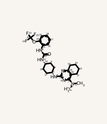 CN(C)c1nc(N[C@H]2CC[C@@H](NC(=O)Nc3ccccc3OC(F)(F)F)CC2)nc2c1CCCC2